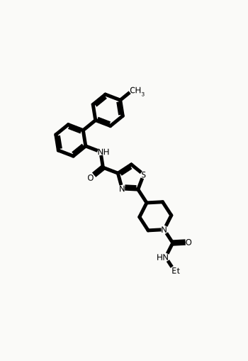 CCNC(=O)N1CCC(c2nc(C(=O)Nc3ccccc3-c3ccc(C)cc3)cs2)CC1